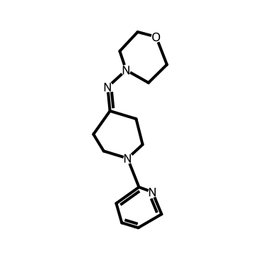 [c]1ccc(N2CCC(=NN3CCOCC3)CC2)nc1